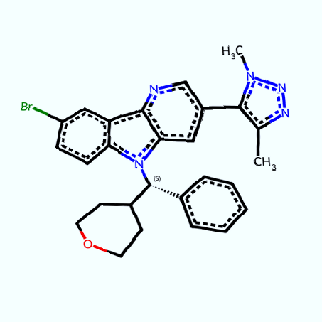 Cc1nnn(C)c1-c1cnc2c3cc(Br)ccc3n([C@H](c3ccccc3)C3CCOCC3)c2c1